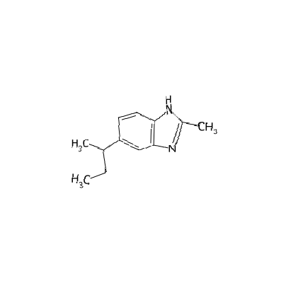 CCC(C)c1ccc2[nH]c(C)nc2c1